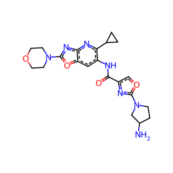 NC1CCN(c2nc(C(=O)Nc3cc4oc(N5CCOCC5)nc4nc3C3CC3)co2)C1